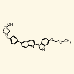 COCCOc1ccc2c(c1)ncn2-c1ccc2cc(-c3ccc(CN4CC[C@@H](O)C4)cc3)ccc2n1